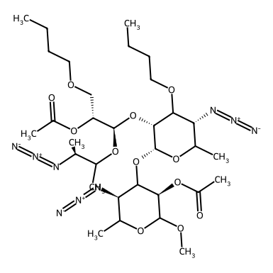 CCCCOC[C@@H](OC(C)=O)[C@H](OC(C)[C@H](C)N=[N+]=[N-])O[C@@H]1C(OCCCC)[C@H](N=[N+]=[N-])C(C)O[C@@H]1OC1[C@H](N=[N+]=[N-])C(C)OC(OC)[C@@H]1OC(C)=O